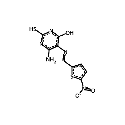 Nc1nc(S)nc(O)c1N=Cc1ccc([N+](=O)[O-])s1